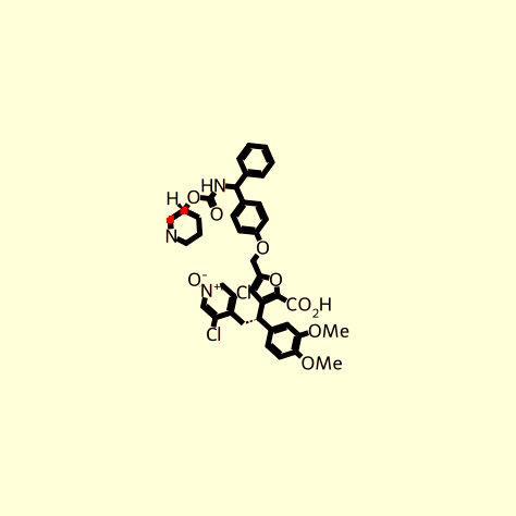 COc1ccc([C@H](Cc2c(Cl)c[n+]([O-])cc2Cl)c2cc(COc3ccc(C(NC(=O)O[C@H]4CN5CCC4CC5)c4ccccc4)cc3)oc2C(=O)O)cc1OC